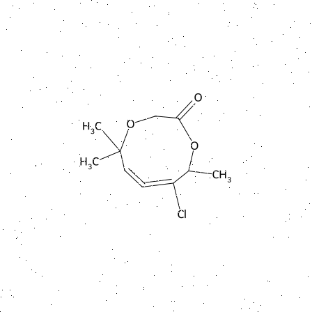 CC1OC(=O)COC(C)(C)C=C=C1Cl